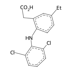 CCc1ccc(Nc2c(Cl)cccc2Cl)c(CC(=O)O)c1